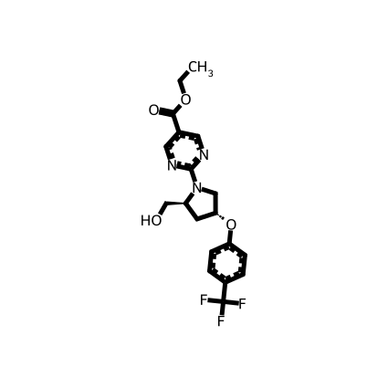 CCOC(=O)c1cnc(N2C[C@H](Oc3ccc(C(F)(F)F)cc3)C[C@H]2CO)nc1